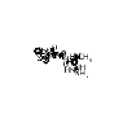 CNc1cc(NC(=N)N)cc(C(=O)NCC(=O)NCC(NC(=O)C2CCCN2S(=O)(=O)c2ccccc2)C(=O)O)c1